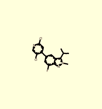 CC(C)c1c2cc(-c3cc(Cl)ncc3Cl)cc(F)c2nn1C